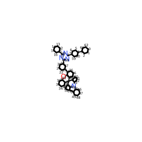 c1ccc(-c2ccc(-c3nc(-c4ccccc4)nc(-c4cccc(-c5cccc6c5Oc5ccccc5C65c6ccccc6-n6c7ccccc7c7cccc5c76)c4)n3)cc2)cc1